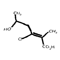 CC(C(=O)O)=C(Cl)CC(C)O